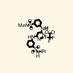 CNS(=O)(=O)c1cccc(Nc2cc(Nc3cccc(S(=O)(=O)NC(C)C)c3)ncn2)c1.O=C(O)C(F)(F)F